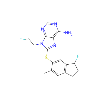 Cc1cc2c(cc1Sc1nc3c(N)ncnc3n1CCF)C(F)CC2